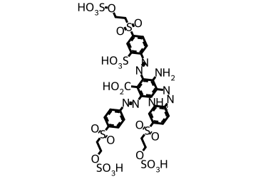 Nc1c(N=Nc2ccc(S(=O)(=O)CCOS(=O)(=O)O)cc2)c(C(=O)O)c(N=Nc2ccc(S(=O)(=O)CCOS(=O)(=O)O)cc2S(=O)(=O)O)c(N)c1/N=N\c1ccc(S(=O)(=O)CCOS(=O)(=O)O)cc1